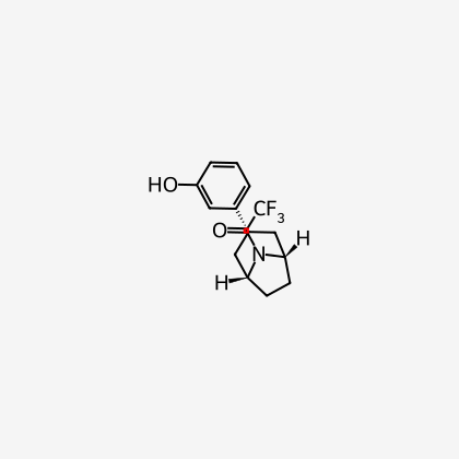 O=C(N1[C@@H]2CC[C@H]1C[C@@H](c1cccc(O)c1)C2)C(F)(F)F